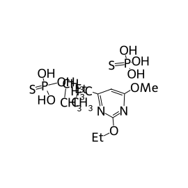 CC.CCC.CCOc1nc(C)cc(OC)n1.OP(O)(O)=S.OP(O)(O)=S